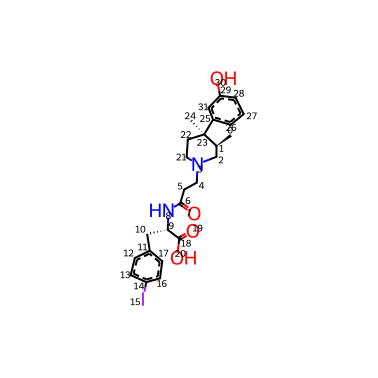 C[C@H]1CN(CCC(=O)N[C@@H](Cc2ccc(I)cc2)C(=O)O)CC[C@@]1(C)c1cccc(O)c1